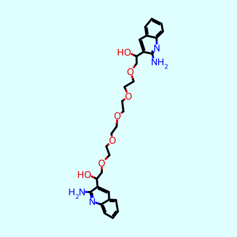 Nc1nc2ccccc2cc1C(O)COCCOCCOCCOCCOCC(O)c1cc2ccccc2nc1N